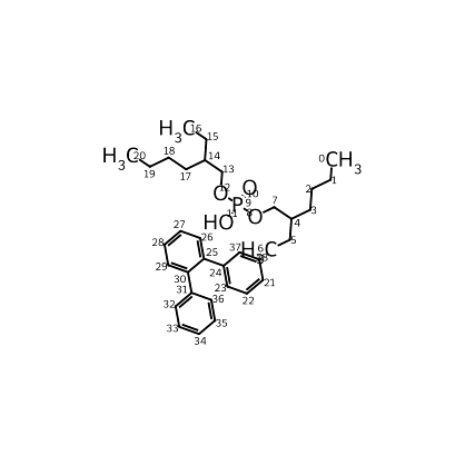 CCCCC(CC)COP(=O)(O)OCC(CC)CCCC.c1ccc(-c2ccccc2-c2ccccc2)cc1